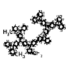 Cc1cccc(N(c2ccccc2)c2ccc(C(c3ccc(N(c4ccccc4)c4cccc(C)c4)cc3)c3ccc(N(c4ccc(-c5ccc6c(c5)c5ccccc5n6-c5ccc(N(c6ccc(-n7c8ccccc8c8ccccc87)cc6)c6ccc(-n7c8ccccc8c8ccccc87)cc6)cc5)cc4)c4cccc(C)c4)cc3)cc2)c1